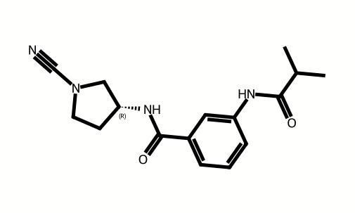 CC(C)C(=O)Nc1cccc(C(=O)N[C@@H]2CCN(C#N)C2)c1